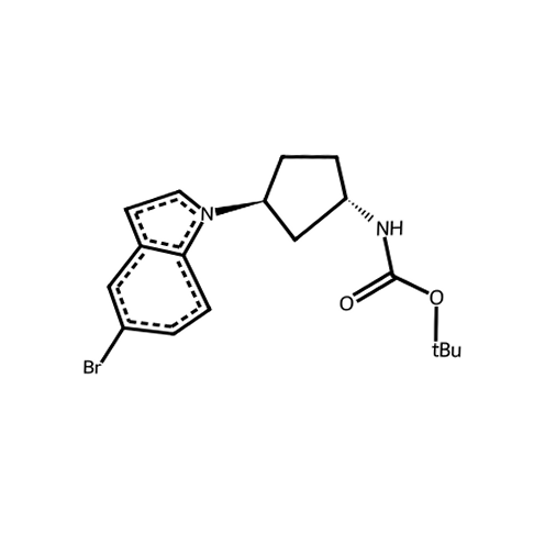 CC(C)(C)OC(=O)N[C@H]1CC[C@H](n2ccc3cc(Br)ccc32)C1